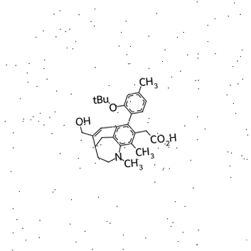 Cc1ccc(-c2c3c4c(c(C)c2CC(=O)O)N(C)CCC(C4)C(CO)=C3)c(OC(C)(C)C)c1